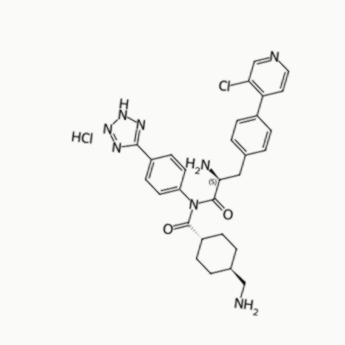 Cl.NC[C@H]1CC[C@H](C(=O)N(C(=O)[C@@H](N)Cc2ccc(-c3ccncc3Cl)cc2)c2ccc(-c3nn[nH]n3)cc2)CC1